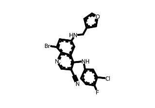 N#Cc1cnc2c(Br)cc(NCc3ccoc3)cc2c1Nc1ccc(F)c(Cl)c1